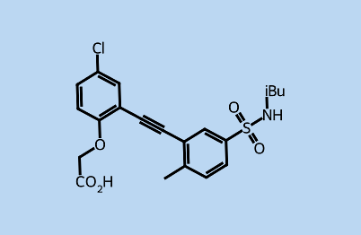 CCC(C)NS(=O)(=O)c1ccc(C)c(C#Cc2cc(Cl)ccc2OCC(=O)O)c1